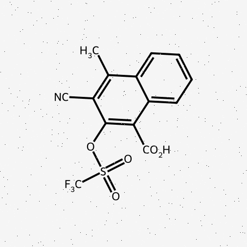 Cc1c(C#N)c(OS(=O)(=O)C(F)(F)F)c(C(=O)O)c2ccccc12